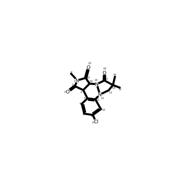 CN1C(=O)C2c3ccc(Cl)cc3N3CC(C)(C)C(=O)N3C2C1=O